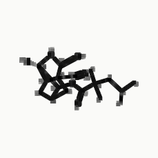 CC(C)CC(C)(C)C(=O)OC1C2CC3[C@H]1OC(=O)C3(C#N)C2